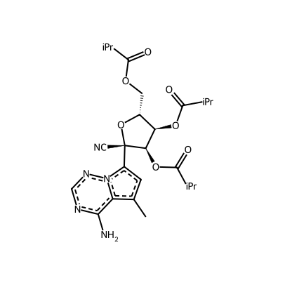 Cc1cc([C@]2(C#N)O[C@H](COC(=O)C(C)C)[C@@H](OC(=O)C(C)C)[C@H]2OC(=O)C(C)C)n2ncnc(N)c12